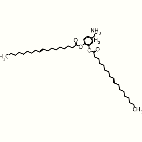 CCCCCCCCC=CCCCCCCCC(=O)Oc1ccc(C)cc1OC(=O)CCCCCCCC=CCCCCCCCC.N